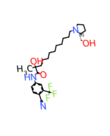 CC(O)(CCCCCCCCCCN1CCC[C@@H]1CO)C(=O)Nc1ccc(C#N)c(C(F)(F)F)c1